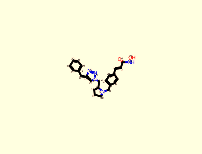 O=C(C=Cc1ccc(CN2CCCC2Cn2cc(Cc3ccccc3)nn2)cc1)NO